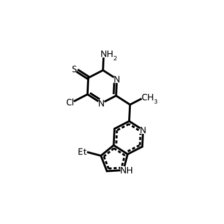 CCc1c[nH]c2cnc(C(C)C3=NC(N)C(=S)C(Cl)=N3)cc12